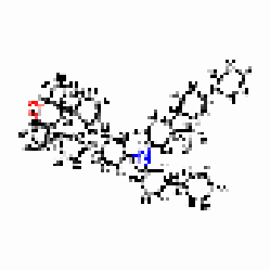 CC1(C)c2cc(-c3ccccc3)ccc2-c2ccc(N(c3ccc(-c4cccc5c4-c4ccccc4C54c5ccccc5Oc5ccccc54)cc3)c3cccc(-c4ccccc4)c3)cc21